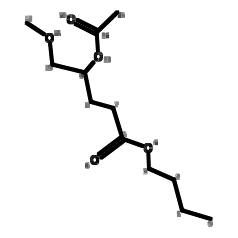 CCCCOC(=O)CCC(COC)OC(C)=O